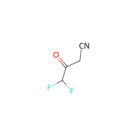 N#CCC(=O)C(F)F